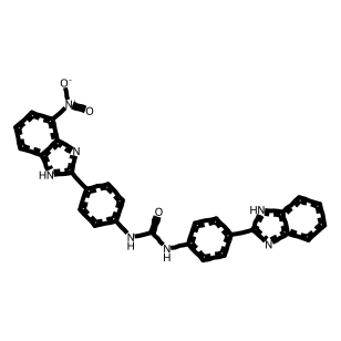 O=C(Nc1ccc(-c2nc3ccccc3[nH]2)cc1)Nc1ccc(-c2nc3c([N+](=O)[O-])cccc3[nH]2)cc1